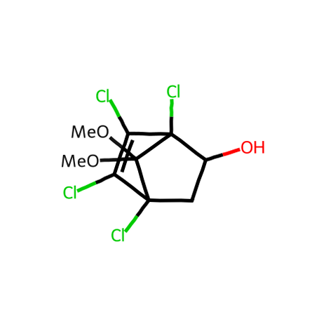 COC1(OC)C2(Cl)CC(O)C1(Cl)C(Cl)=C2Cl